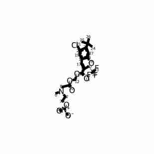 CN(CCO[N+](=O)[O-])CC(=O)OCOC(=O)C1=Cc2cc(Cl)c(C(C)(C)C)cc2O[C@@H]1C(F)(F)F